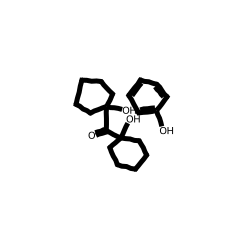 O=C(C1(O)CCCCC1)C1(O)CCCCC1.Oc1ccccc1